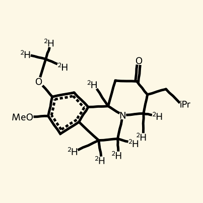 [2H]C([2H])([2H])Oc1cc2c(cc1OC)C([2H])([2H])C([2H])([2H])N1C2([2H])CC(=O)C(CC(C)C)C1([2H])[2H]